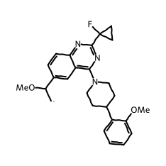 [CH2]C(OC)c1ccc2nc(C3(F)CC3)nc(N3CCC(c4ccccc4OC)CC3)c2c1